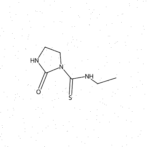 CCNC(=S)N1CCNC1=O